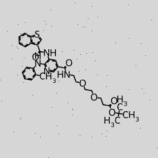 Cc1ccccc1Nc1ncc(C(=O)NCCOCCOCCC(=O)OC(C)(C)C)cc1NC(=O)c1csc2ccccc12